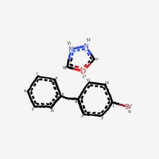 Brc1ccc(-c2ccccc2)cc1.c1nnco1